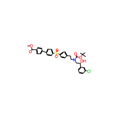 COC(=O)c1ccc(-c2ccc(S(=O)(=O)c3ccc(CCN(C[C@H](O)c4cccc(Cl)c4)C(=O)OC(C)(C)C)cc3)cc2)cc1